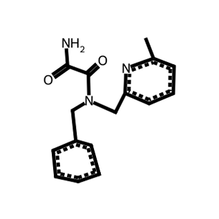 Cc1cccc(CN(Cc2ccccc2)C(=O)C(N)=O)n1